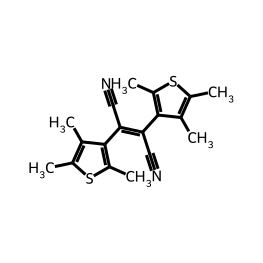 Cc1sc(C)c(C(C#N)=C(C#N)c2c(C)sc(C)c2C)c1C